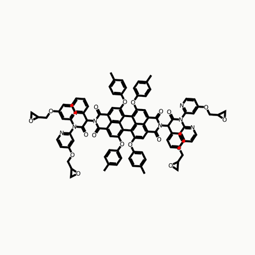 Cc1ccc(Oc2cc3c4c(cc(Oc5ccc(C)cc5)c5c6c(Oc7ccc(C)cc7)cc7c8c(cc(Oc9ccc(C)cc9)c(c2c45)c86)C(=O)N(C(C(=O)N(c2cc(OCC4CO4)ccn2)c2cc(OCC4CO4)ccn2)c2ccccc2)C7=O)C(=O)N(C(C(=O)N(c2cc(OCC4CO4)ccn2)c2cc(OCC4CO4)ccn2)c2ccccc2)C3=O)cc1